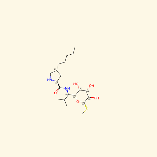 CCCCC[C@H]1CN[C@H](C(=O)N[C@H](C(C)C)[C@H]2O[C@H](SC)[C@H](O)[C@@H](O)[C@H]2O)C1